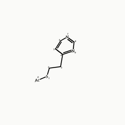 CC(=O)SCCc1ccncn1